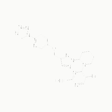 O=Cc1ncc(Br)c(N2CCCCC2n2ncc(COc3ccc(-n4cnnn4)nc3)n2)n1